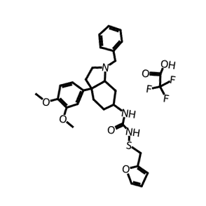 COc1ccc(C23CCC(NC(=O)NSCc4ccco4)CC2N(Cc2ccccc2)CC3)cc1OC.O=C(O)C(F)(F)F